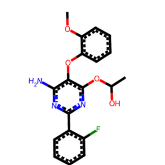 COc1ccccc1Oc1c(N)nc(-c2ccccc2F)nc1OC(C)O